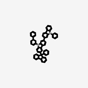 C1=CC(c2ccccc2)CC(n2c3ccc(C4(c5ccccc5)c5ccccc5-c5ccccc54)cc3c3ccc(-c4ccc5c6ccccc6n(-c6ccccc6)c5c4)cc32)=C1